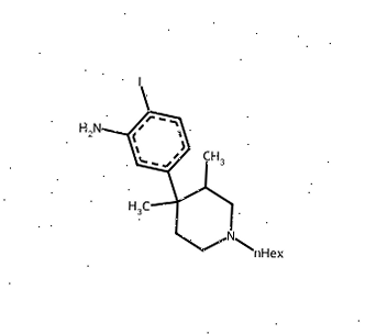 CCCCCCN1CCC(C)(c2ccc(I)c(N)c2)C(C)C1